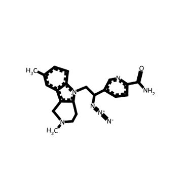 Cc1ccc2c(c1)c1c(n2CC(N=[N+]=[N-])c2ccc(C(N)=O)nc2)CCN(C)C1